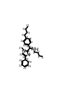 CCCCNC(c1ccc(CCCC)cc1)c1nc(C2C=CC=CC2)cn1C